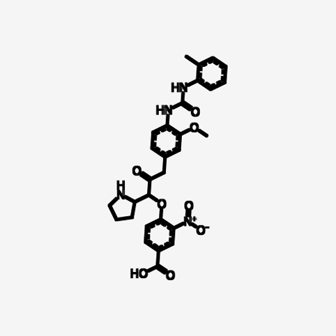 COc1cc(CC(=O)C(Oc2ccc(C(=O)O)cc2[N+](=O)[O-])C2CCCN2)ccc1NC(=O)Nc1ccccc1C